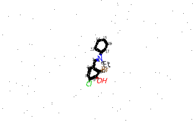 CCN(Cc1ccc(Cl)c(O)c1Br)C1CCCCC1